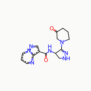 O=C1CCCN(C2=NNCC2NC(=O)c2cnn3cccnc23)C1